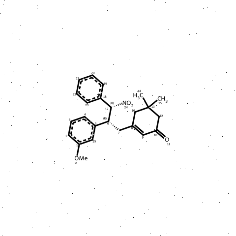 COc1cccc([C@@H](CC2=CC(=O)CC(C)(C)C2)[C@H](c2ccccc2)[N+](=O)[O-])c1